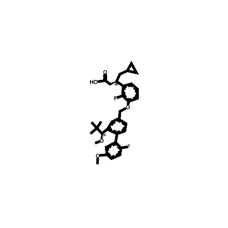 COc1ccc(F)c(-c2ccc(COc3cccc([C@@H](CC(=O)O)CC4CC4)c3F)cc2[C@@H](OC)C(C)(C)C)c1